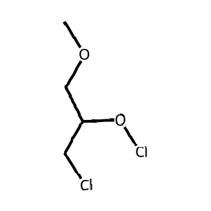 COCC(CCl)OCl